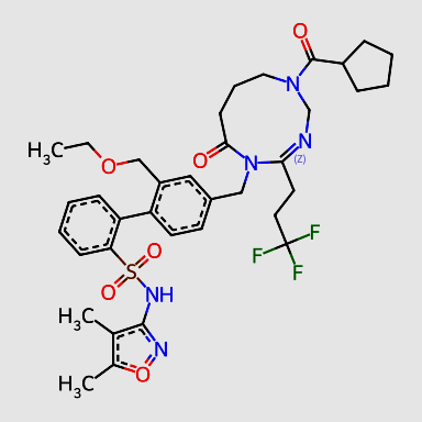 CCOCc1cc(CN2C(=O)CCCN(C(=O)C3CCCC3)C/N=C\2CCC(F)(F)F)ccc1-c1ccccc1S(=O)(=O)Nc1noc(C)c1C